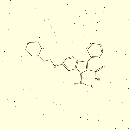 CC(C)COC(=O)C1=C(c2ccccc2)c2ccc(OCCN3CCOCC3)cc2/C1=[N+](/C)[O-]